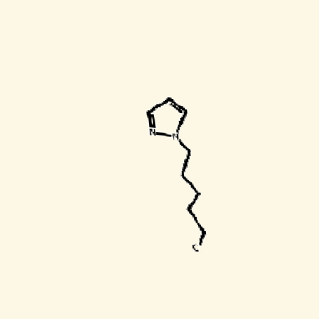 ClCCCCCn1cccn1